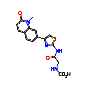 Cn1c(=O)ccc2ccc(-c3csc(NC(=O)CNC(=O)O)n3)cc21